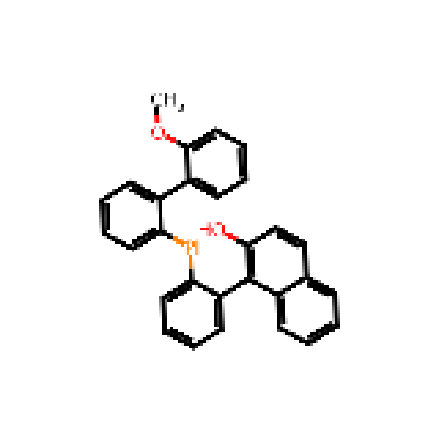 COc1ccccc1-c1ccccc1Pc1ccccc1-c1c(O)ccc2ccccc12